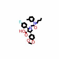 CCCCN(C(=O)CN1C[C@H](c2ccc3c(c2)OCCO3)[C@H](C(=O)O)[C@H]1c1ccc(F)cc1)c1cccc(C)c1